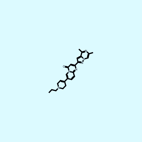 CCCN1CC=C(c2ccc3nc(-c4cc5c(C)nc(C)cn5n4)cc(=O)n3c2)CC1